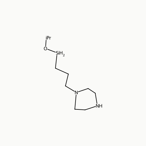 CC(C)O[SiH2]CCCN1CCNCC1